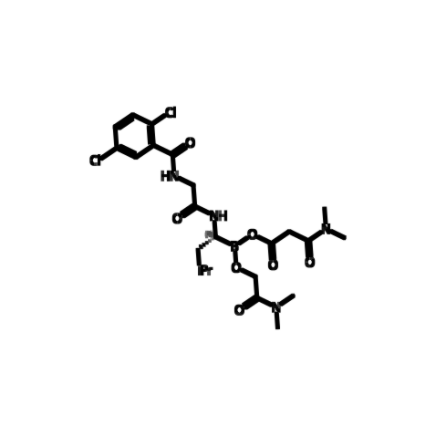 CC(C)C[C@H](NC(=O)CNC(=O)c1cc(Cl)ccc1Cl)B(OCC(=O)N(C)C)OC(=O)CC(=O)N(C)C